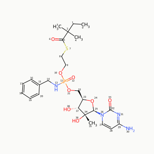 CCC(C)(C)C(=O)SCCOP(=O)(NCc1ccccc1)OC[C@H]1O[C@@H](n2ccc(N)nc2=O)[C@](C)(O)[C@@H]1O